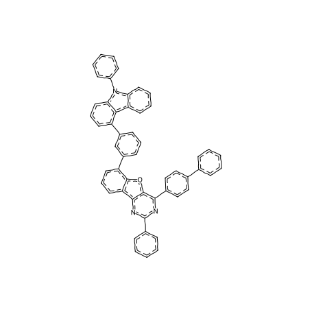 c1ccc(-c2ccc(-c3nc(-c4ccccc4)nc4c3oc3c(-c5cccc(-c6cccc7c6c6ccccc6n7-c6ccccc6)c5)cccc34)cc2)cc1